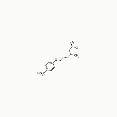 CCC[C@@H](Cl)CC(C)CCCOc1ccc(C(=O)O)cc1